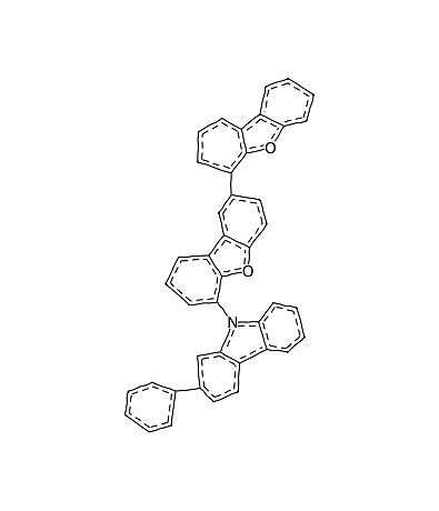 c1ccc(-c2ccc3c4ccccc4n(-c4cccc5c4oc4ccc(-c6cccc7c6oc6ccccc67)cc45)c3c2)cc1